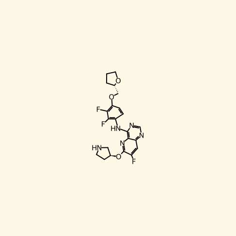 Fc1cc2ncnc(Nc3ccc(OC[C@@H]4CCCO4)c(F)c3F)c2nc1O[C@H]1CCNC1